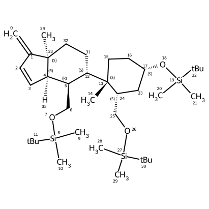 C=C1C=C[C@@H]2[C@H](CO[Si](C)(C)C(C)(C)C)[C@@H]([C@]3(C)CC[C@H](O[Si](C)(C)C(C)(C)C)C[C@@H]3CO[Si](C)(C)C(C)(C)C)CC[C@]12C